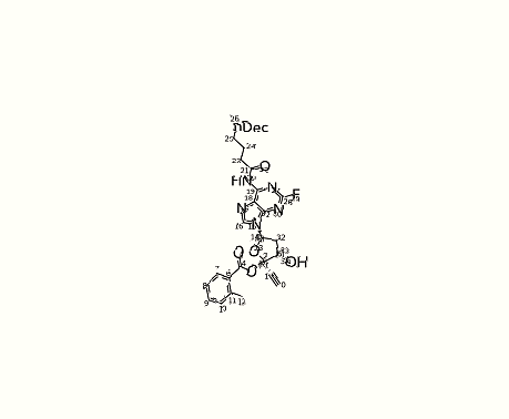 C#C[C@]1(OC(=O)c2ccccc2C)O[C@@H](n2cnc3c(NC(=O)CCCCCCCCCCCCC)nc(F)nc32)C[C@@H]1O